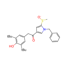 C[S+]([O-])c1cc(C(=O)Cc2cc(C(C)(C)C)c(O)c(C(C)(C)C)c2)cn1Cc1ccccc1